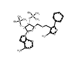 Cc1snc(-c2ccccc2)c1CSC[C@H]1O[C@@H](n2ccc3c(N)ncnc32)[C@H](O[Si](C)(C)C(C)(C)C)[C@@H]1O[Si](C)(C)C(C)(C)C